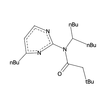 CCCCc1ccnc(N(C(=O)CC(C)(C)C)C(CCCC)CCCC)n1